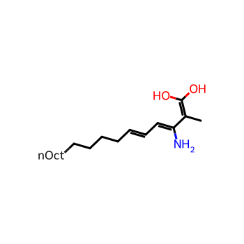 CCCCCCCCCCCCC=CC=C(N)C(C)=C(O)O